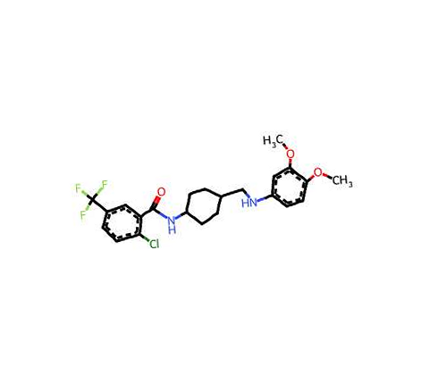 COc1ccc(NCC2CCC(NC(=O)c3cc(C(F)(F)F)ccc3Cl)CC2)cc1OC